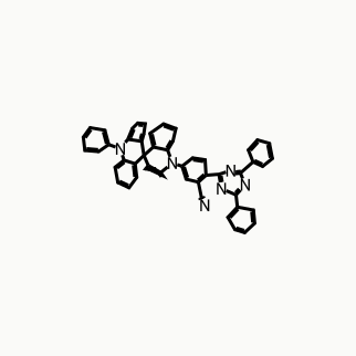 N#Cc1cc(N2c3ccccc3C3(c4ccccc4N(c4ccccc4)c4ccccc43)c3ccccc32)ccc1-c1nc(-c2ccccc2)nc(-c2ccccc2)n1